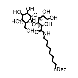 CCCCCCCCCCCCCCCCCCNC(=O)[C@H](O)[C@@H](O)[C@H](O[C@@H]1OC(CO)[C@@H](O)C(O)C1O)[C@H](O)CO